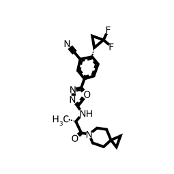 C[C@H](Nc1nnc(-c2ccc([C@@H]3CC3(F)F)c(C#N)c2)o1)C(=O)N1CCC2(CC1)CC2